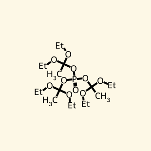 CCOC(C)(OCC)OP(=O)(OC(C)(OCC)OCC)OC(C)(OCC)OCC